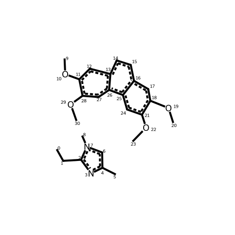 CCc1nc(C)cn1C.COc1cc2ccc3cc(OC)c(OC)cc3c2cc1OC